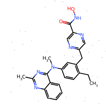 CCc1ccc(N(C)c2nc(C)nc3ccccc23)cc1Cc1cnc(C(=O)NO)cn1